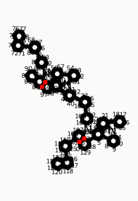 c1ccc(-c2cc(-c3ccccc3-n3c4ccccc4c4ccccc43)ccc2N(c2ccc(-c3cccc(-c4ccc5c6ccccc6n(-c6ccccc6-c6ccc(N(c7ccc(-c8cccc(-c9cccc%10ccccc9%10)c8)cc7)c7cccc8ccccc78)c(-c7ccccc7)c6)c5c4)c3)cc2)c2ccc(-c3cccc(-c4cccc5ccccc45)c3)cc2)cc1